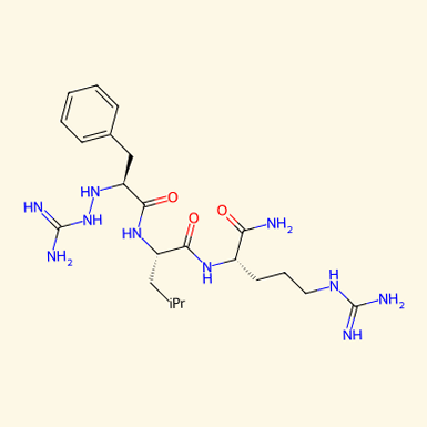 CC(C)C[C@H](NC(=O)[C@H](Cc1ccccc1)NNC(=N)N)C(=O)N[C@@H](CCCNC(=N)N)C(N)=O